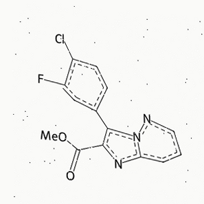 COC(=O)c1nc2cccnn2c1-c1ccc(Cl)c(F)c1